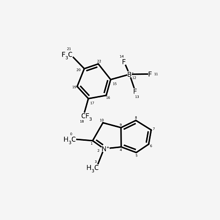 CC1=[N+](C)c2ccccc2C1.F[B-](F)(F)c1cc(C(F)(F)F)cc(C(F)(F)F)c1